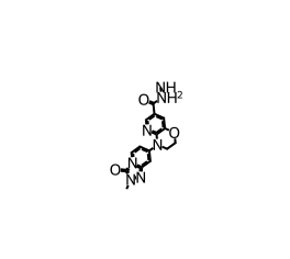 Cn1nc2cc(N3CCOc4cc(C(=O)NN)cnc43)ccn2c1=O